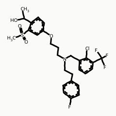 CC(O)c1ccc(OCCCN(CCc2ccc(F)cc2)Cc2cccc(C(F)(F)F)c2Cl)cc1S(C)(=O)=O